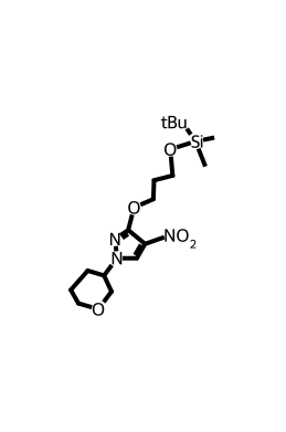 CC(C)(C)[Si](C)(C)OCCCOc1nn(C2CCCOC2)cc1[N+](=O)[O-]